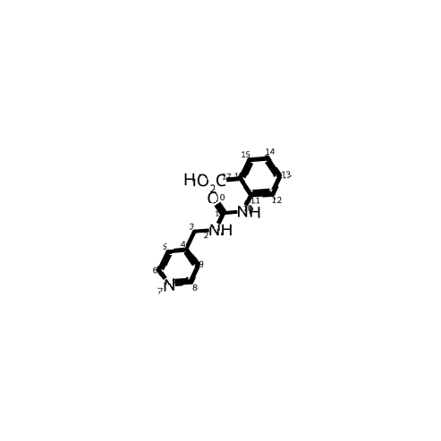 O=C(NCc1ccncc1)Nc1ccccc1C(=O)O